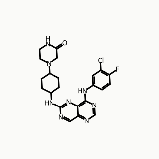 O=C1CN(C2CCC(Nc3ncc4ncnc(Nc5ccc(F)c(Cl)c5)c4n3)CC2)CCN1